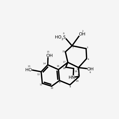 O=S(=O)(O)C1(O)CCC2(O)C3Cc4ccc(O)c(O)c4C2(CCN3)C1